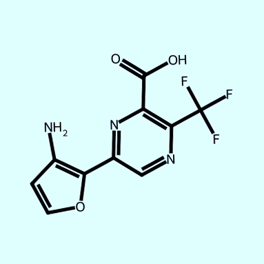 Nc1ccoc1-c1cnc(C(F)(F)F)c(C(=O)O)n1